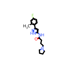 Cc1cc(F)ccc1-c1cc(NC(=O)CCCN2CCCC2)[nH]n1